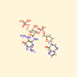 NNc1c(N[C@@H]2O[C@H](CO[P@@](=O)(O)S)[C@H](O)C2OP(=O)(S)OCC2CC[C@H](n3cnn4ccnc4c3=O)O2)nc(N)[nH]c1=O